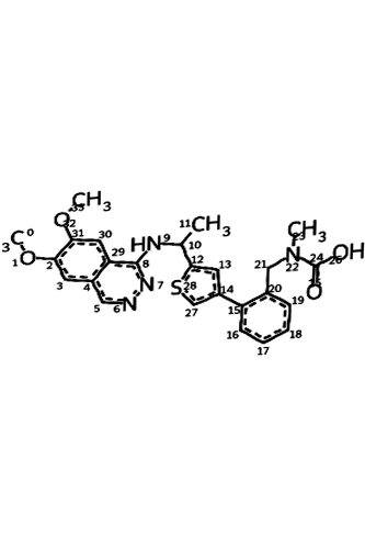 COc1cc2cnnc(NC(C)c3cc(-c4ccccc4CN(C)C(=O)O)cs3)c2cc1OC